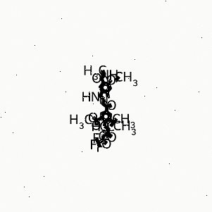 CCOc1cc2c(cc1C(=O)NC)C(=N)N(CC(=O)c1cc(C(=O)OC)c(OCC(=O)OC(=O)C(F)(F)F)c(C(C)(C)C)c1)C2